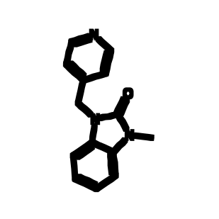 Cn1c(=O)n(Cc2ccncc2)c2ccccc21